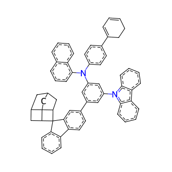 C1=CCCC(c2ccc(N(c3cc(-c4ccc5c(c4)C4(c6ccccc6-5)C5CC6CC7CC4C75C6)cc(-n4c5ccccc5c5ccccc54)c3)c3cccc4ccccc34)cc2)=C1